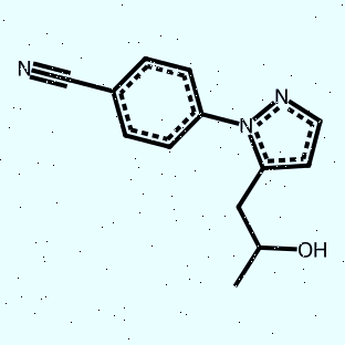 CC(O)Cc1ccnn1-c1ccc(C#N)cc1